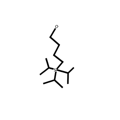 CC(C)[Si](CCCC[O])(C(C)C)C(C)C